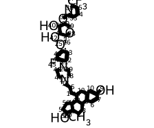 C[C@]12CCC3c4ccc(O)cc4CC(CCCN4CCN(c5ccc(OC[C@H]6OC[C@H](Oc7cccc(C(F)(F)F)n7)[C@@H](O)[C@H]6O)cc5F)CC4)C3C1CC[C@@H]2O